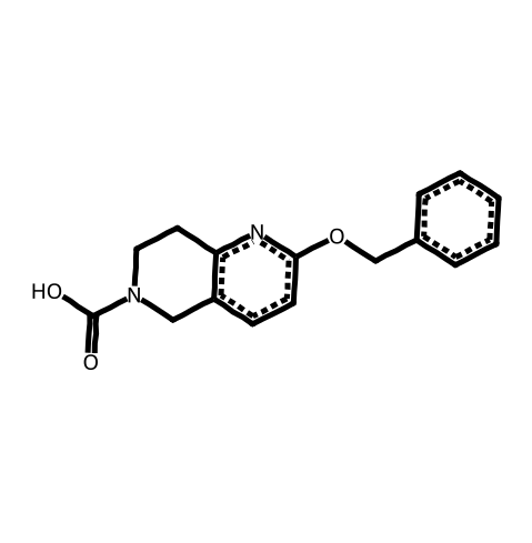 O=C(O)N1CCc2nc(OCc3ccccc3)ccc2C1